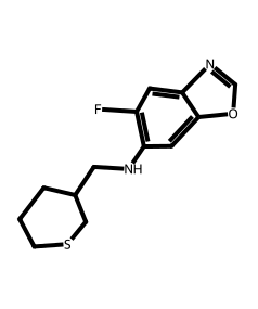 Fc1cc2ncoc2cc1NCC1CCCSC1